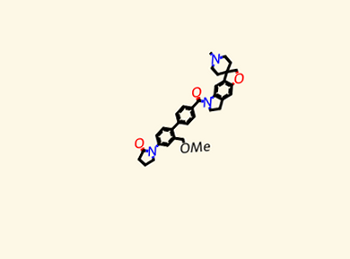 COCc1cc(N2CCCC2=O)ccc1-c1ccc(C(=O)N2CCc3cc4c(cc32)C2(CCN(C)CC2)CO4)cc1